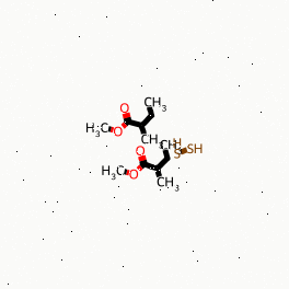 CCC(C)C(=O)OC.CCC(C)C(=O)OC.SS